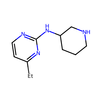 CCc1ccnc(NC2CCCNC2)n1